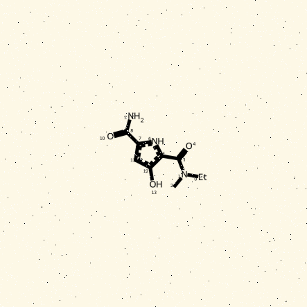 CCN(C)C(=O)c1[nH]c(C(N)=O)cc1O